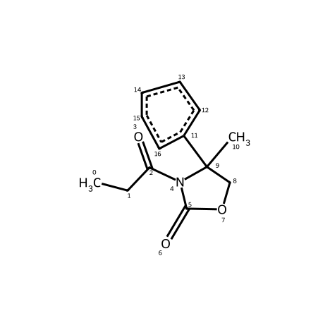 CCC(=O)N1C(=O)OCC1(C)c1ccccc1